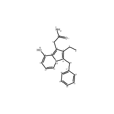 CCc1c(CC(N)=O)c2c(O)cccn2c1Cc1ccccc1